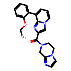 O=C(c1cn2cccc(-c3ccccc3OCC(F)(F)F)c2n1)N1CCn2ccnc2C1